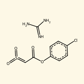 N=C(N)N.O=C(C=S(=O)=O)Oc1ccc(Cl)cc1